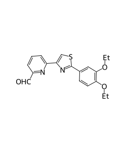 CCOc1ccc(-c2nc(-c3cccc(C=O)n3)cs2)cc1OCC